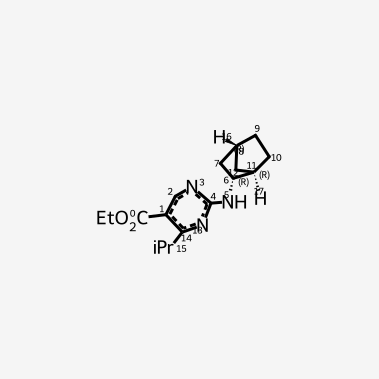 CCOC(=O)c1cnc(N[C@@H]2C[C@@H]3CC[C@@H]2C3)nc1C(C)C